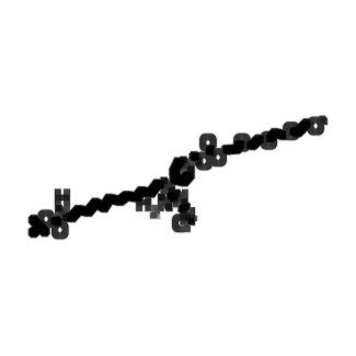 COCCOCCOCCOCCOC(=O)OC[n+]1ccc(N(CCCCCCCCCCCCNC(=O)OC(C)(C)C)C(N)=NC#N)cc1.[Cl-]